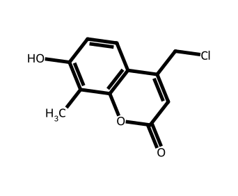 Cc1c(O)ccc2c(CCl)cc(=O)oc12